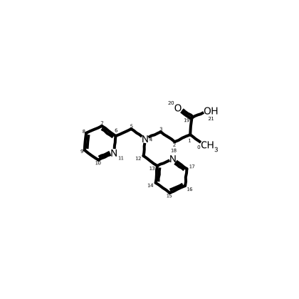 CC(CCN(Cc1ccccn1)Cc1ccccn1)C(=O)O